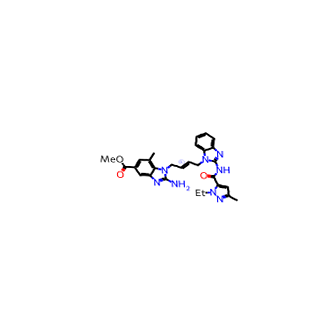 CCn1nc(C)cc1C(=O)Nc1nc2ccccc2n1C/C=C/Cn1c(N)nc2cc(C(=O)OC)cc(C)c21